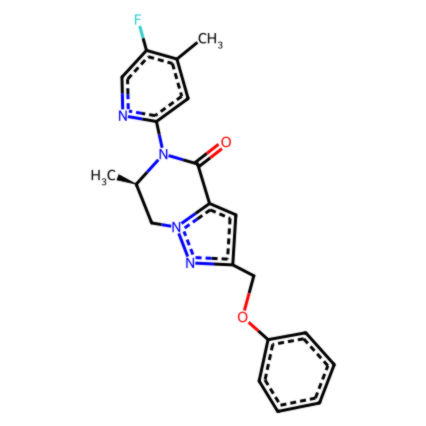 Cc1cc(N2C(=O)c3cc(COc4ccccc4)nn3C[C@H]2C)ncc1F